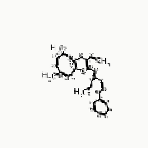 C=CCC(/C=C\CC1=CCC=CC=C1)=C\C1=C(C=C)CC2=C(C/C=C(C)\C=C/C(=C)S2)S1